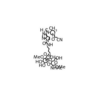 CO[C@@H]1OC(CO)[C@@H](O)[C@H](O[C@@H]2OC(C(=O)N(C)CCCCNC(=O)n3ccc4c(N(C)[C@H]5CN(C(=O)CC#N)CC[C@H]5C)ncnc43)[C@@H](OC)[C@H](O)C2O)C1NC(C)=O